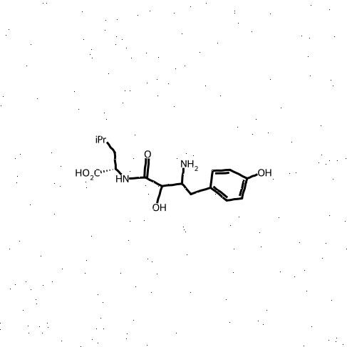 CC(C)C[C@H](NC(=O)C(O)C(N)Cc1ccc(O)cc1)C(=O)O